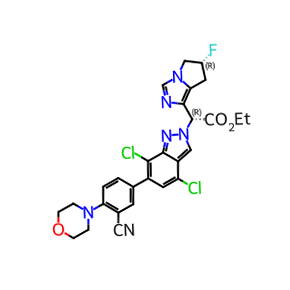 CCOC(=O)[C@@H](c1ncn2c1C[C@@H](F)C2)n1cc2c(Cl)cc(-c3ccc(N4CCOCC4)c(C#N)c3)c(Cl)c2n1